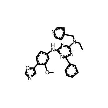 CCN(Cc1ccncc1)c1nc(Nc2ccc(-c3cnco3)c(OC)c2)nc(-c2ccccc2)n1